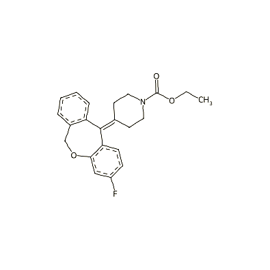 CCOC(=O)N1CCC(=C2c3ccccc3COc3cc(F)ccc32)CC1